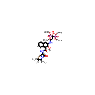 CCOc1c(NCCC(O)(P(=O)(OOC)OOC)P(=O)(OOC)OOC)cc2ccccc2c1C(=O)NC1C(=O)N2C1SC(C)(C)C2C(=O)O